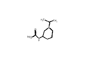 CC(C)N1CCCC(NC(=O)O)C1